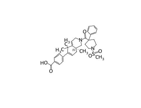 CC1(C)C(c2ccc(C(=O)O)cc2)=CC[C@]2(C)CN(C(=O)C3(c4ccccc4)CCN(S(C)(=O)=O)CC3)CC=C12